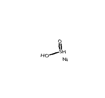 O=[SH]O.[Ni]